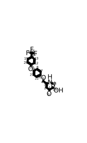 O=c1cc(COc2ccc(Oc3ccc(C(F)(F)F)cc3)cc2)[nH]nc1O